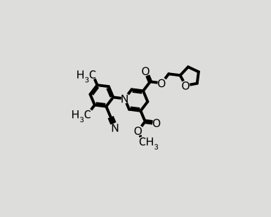 COC(=O)C1=CN(c2cc(C)cc(C)c2C#N)C=C(C(=O)OCC2CCCO2)C1